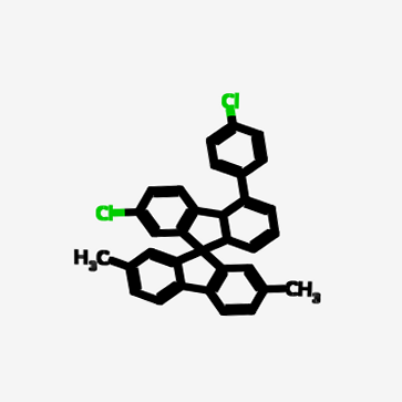 Cc1ccc2c(c1)C1(c3cc(C)ccc3-2)c2cc(Cl)ccc2C2C(c3ccc(Cl)cc3)=CC=CC21